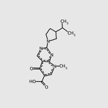 CC(C)C1CCN(c2ncc3c(=O)c(C(=O)O)cn(C)c3n2)C1